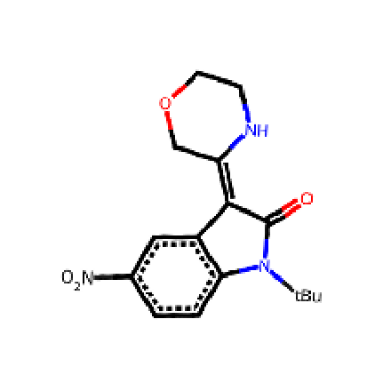 CC(C)(C)N1C(=O)/C(=C2/COCCN2)c2cc([N+](=O)[O-])ccc21